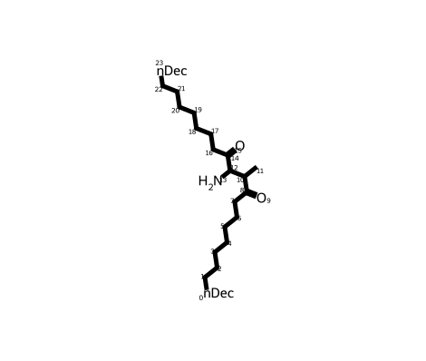 CCCCCCCCCCCCCCCCCC(=O)C(C)C(N)C(=O)CCCCCCCCCCCCCCCCC